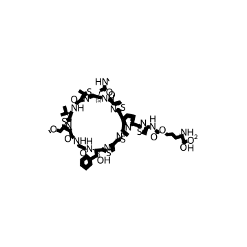 CNC(=O)C[C@@H]1NC(=O)c2csc(n2)-c2ccc(-c3nc(NC(=O)OCCC[C@H](N)C(=O)O)cs3)nc2-c2csc(n2)-c2csc(n2)[C@H]([C@@H](O)c2ccccc2)NC(=O)CNC(=O)c2nc(sc2COC)[C@@H](C(C)C)NC(=O)c2nc1sc2C